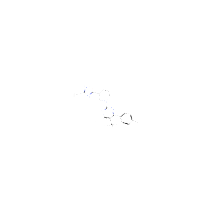 CCCC(C)(C(=O)O)c1c(C)nc(N2CCCC(c3nc(C(C)C)no3)C2)nc1-c1ccc(C)cc1